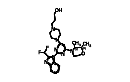 C[C@H]1OCCN(c2cc(N3CCN(CCCO)CC3)nc(-n3c(C(F)F)nc4ccccc43)n2)[C@H]1C